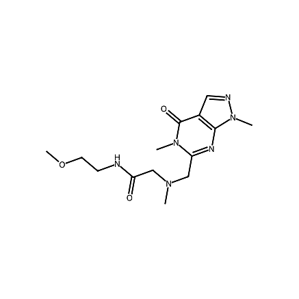 COCCNC(=O)CN(C)Cc1nc2c(cnn2C)c(=O)n1C